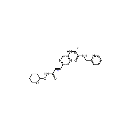 C[C@@H](Nc1cnc(/C=C/C(=O)NOC2CCCCO2)cn1)C(=O)NCc1ccccn1